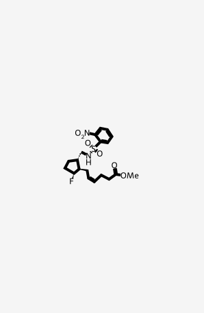 COC(=O)CC/C=C\C[C@@H]1[C@@H](CNS(=O)(=O)c2ccccc2[N+](=O)[O-])CC[C@H]1F